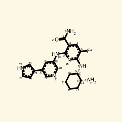 NC(=O)c1cc(F)c(N[C@H]2CCCC[C@H]2N)nc1Nc1cncc(-c2cc[nH]c2)c1